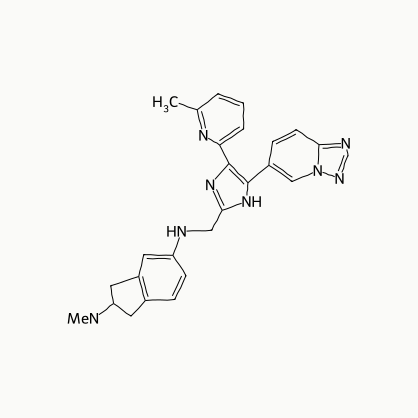 CNC1Cc2ccc(NCc3nc(-c4cccc(C)n4)c(-c4ccc5ncnn5c4)[nH]3)cc2C1